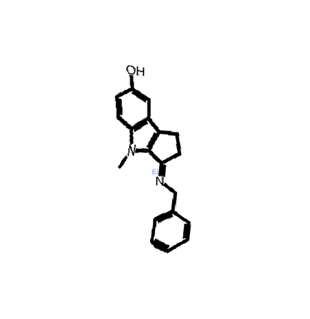 Cn1c2c(c3cc(O)ccc31)CC/C2=N\Cc1ccccc1